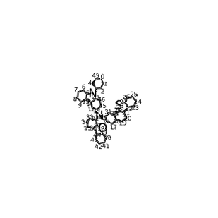 c1ccc(-n2c3ccccc3c3cc(N(c4ccc5ccc6c7ccccc7sc6c5c4)c4cccc5c4oc4ccccc45)ccc32)cc1